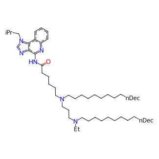 CCCCCCCCCCCCCCCCCCCN(CC)CCCN(CCCCCCCCCCCCCCCCCCC)CCCCCC(=O)Nc1nc2ccccc2c2c1ncn2CC(C)C